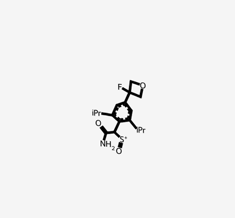 CC(C)c1cc(C2(F)COC2)cc(C(C)C)c1C([S+]=O)C(N)=O